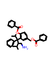 CC(C)C(CN)C(c1ccccc1)(c1cc(COC(=O)c2ccccc2)ccc1OC(=O)c1ccccc1)C(C)C